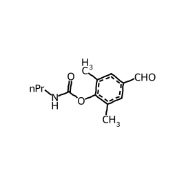 CCCNC(=O)Oc1c(C)cc(C=O)cc1C